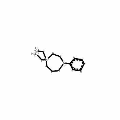 CC[N+]1(CC)CCCN(c2ccccc2)CC1